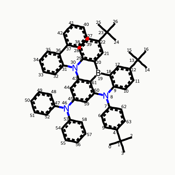 CC(C)(C)c1ccc(N2c3ccc(C(C)(C)C)cc3B3c4cc(C(C)(C)C)ccc4N(c4ccccc4-c4ccccc4)c4cc(N(c5ccccc5)c5ccccc5)cc2c43)cc1